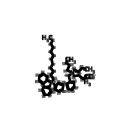 CCCCCCCCCCCC[P+](c1ccccc1)(c1ccccc1)c1ccccc1.CCCC[N+](CCCC)(CCCC)Cc1ccccc1.[Cl-].[Cl-]